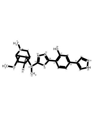 COC1C2CCC(CN2C)[C@@H]1N(C)c1nnc(-c2ccc(-c3cn[nH]c3)cc2O)s1